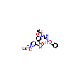 CC(C)N(C(=O)c1ccc2c(c1)N(CCNC(=O)OCc1ccccc1)C(=O)C1(CC1)O2)[C@@H]1CCCN(C(=O)OC(C)(C)C)C1